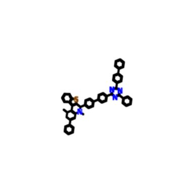 CC1CC(c2ccccc2)=CC2=C1c1c(sc3ccccc13)C(c1ccc(-c3ccc(-c4nc(-c5ccccc5)nc(-c5ccc(-c6ccccc6)cc5)n4)cc3)cc1)N2C